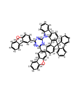 c1ccc2c(c1)-c1ccccc1C21c2ccccc2-c2c1ccc1c3ccccc3n(-c3nc(-c4ccc5oc6ccccc6c5c4)nc(-c4ccc5oc6ccccc6c5c4)n3)c21